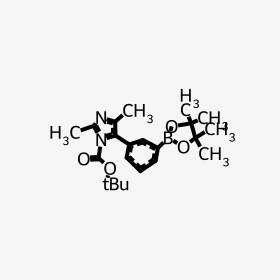 Cc1nc(C)n(C(=O)OC(C)(C)C)c1-c1cccc(B2OC(C)(C)C(C)(C)O2)c1